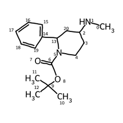 CNC1CCN(C(=O)OC(C)(C)C)C(c2ccccc2)C1